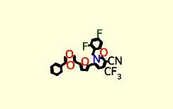 N#Cc1c(C(F)(F)F)cc(-c2ccc(C3=COC=C(C4=CC=CCC4)O3)o2)n(Cc2ccc(F)cc2F)c1=O